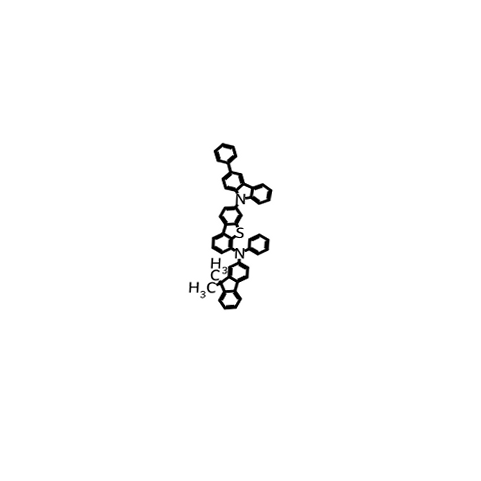 CC1(C)c2ccccc2-c2ccc(N(c3ccccc3)c3cccc4c3sc3cc(-n5c6ccccc6c6cc(-c7ccccc7)ccc65)ccc34)cc21